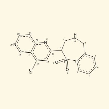 O=S1(=O)c2ccccc2CNCC1c1cc(Cl)c2cnccc2n1